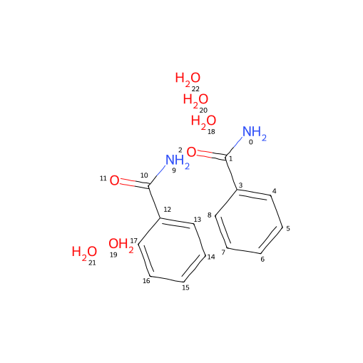 NC(=O)c1ccccc1.NC(=O)c1ccccc1.O.O.O.O.O